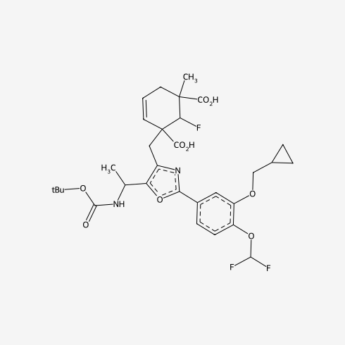 CC(NC(=O)OC(C)(C)C)c1oc(-c2ccc(OC(F)F)c(OCC3CC3)c2)nc1CC1(C(=O)O)C=CCC(C)(C(=O)O)C1F